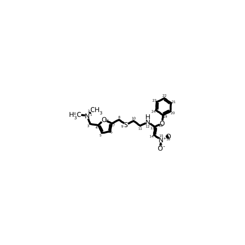 CN(C)Cc1ccc(CSCCN/C(=C/[N+](=O)[O-])Oc2ccccc2)o1